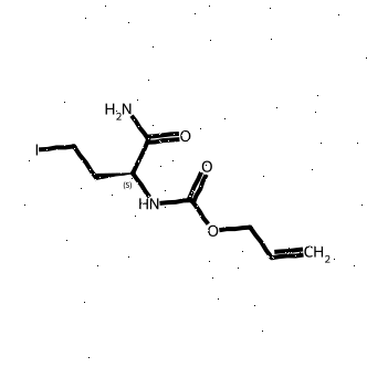 C=CCOC(=O)N[C@@H](CCI)C(N)=O